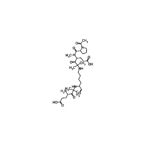 CC(=O)N1CCCC1C(=O)N(C)C(CCC(=O)O)C(=O)C(C)(C)NCCCCC(C=O)NC(C)(C)C(=O)C(N)CCC(=O)O